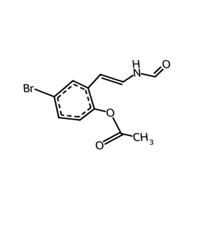 CC(=O)Oc1ccc(Br)cc1C=CNC=O